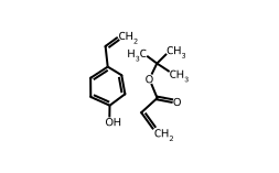 C=CC(=O)OC(C)(C)C.C=Cc1ccc(O)cc1